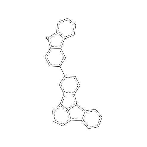 c1ccc2c(c1)oc1ccc(-c3ccc4c(c3)c3cccc5c6ccccc6n4c53)cc12